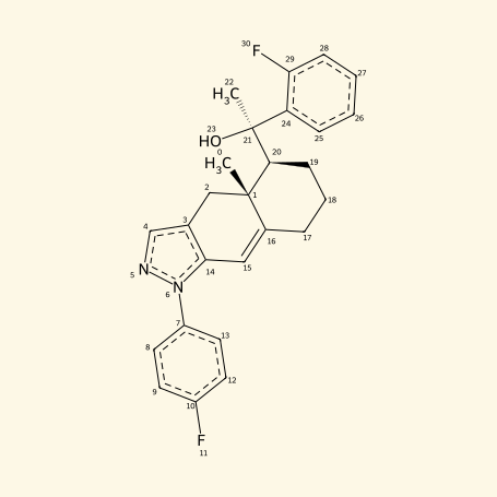 C[C@]12Cc3cnn(-c4ccc(F)cc4)c3C=C1CCC[C@@H]2[C@@](C)(O)c1ccccc1F